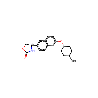 CCCC[C@H]1CC[C@H](Oc2ccc3cc([C@]4(C)COC(=O)N4)ccc3c2)CC1